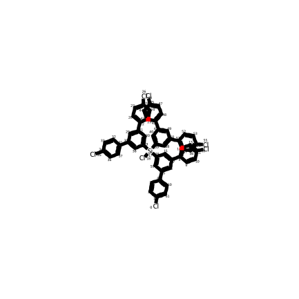 Clc1ccc(-c2cc(-c3ccc(Cl)cc3)cc([Si](Cl)(c3cc(-c4ccc(Cl)cc4)cc(-c4ccc(Cl)cc4)c3)c3cc(-c4ccc(Cl)cc4)cc(-c4ccc(Cl)cc4)c3)c2)cc1